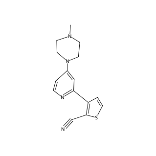 CN1CCN(c2ccnc(-c3ccsc3C#N)c2)CC1